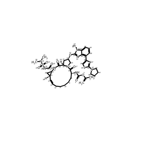 C=C(C)OC(=O)N[C@H]1CCCCC/C=C\[C@@H]2C[C@@]2(C(=O)NS(=O)(=O)N(C)C)NC(=O)[C@@H]2C[C@@H](Oc3nc4c(-c5csc(N6CCCC6)n5)cccc4n3C(C)C)CN2C1=O